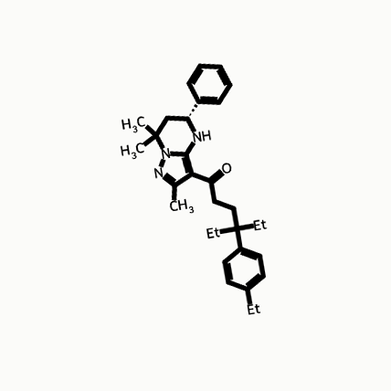 CCc1ccc(C(CC)(CC)CCC(=O)c2c(C)nn3c2N[C@@H](c2ccccc2)CC3(C)C)cc1